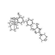 O=C1N=C(N2CCOCC2)S/C1=C/c1cccc(-c2cc(F)c(O)c(C34CC5CC(CC(C5)C3)C4)c2)c1